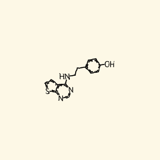 Oc1ccc(CCNc2ncnc3sccc23)cc1